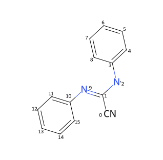 N#CC([N]c1ccccc1)=Nc1ccccc1